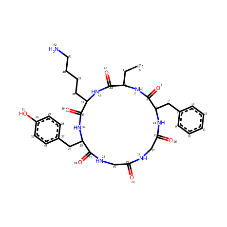 CC(C)CC1NC(=O)C(Cc2ccccc2)NC(=O)CNC(=O)CNC(=O)C(Cc2ccc(O)cc2)NC(=O)C(CCCCN)NC1=O